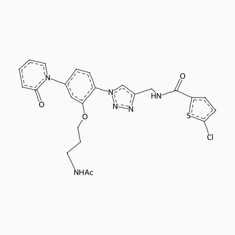 CC(=O)NCCCOc1cc(-n2ccccc2=O)ccc1-n1cc(CNC(=O)c2ccc(Cl)s2)nn1